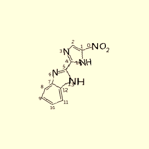 O=[N+]([O-])c1cnc(-c2nc3ccccc3[nH]2)[nH]1